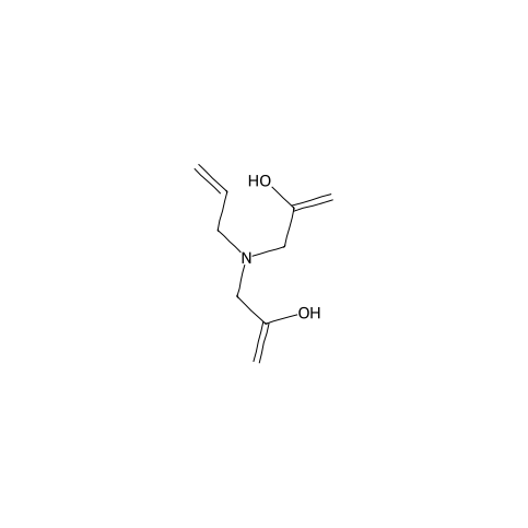 C=CCN(CC(=C)O)CC(=C)O